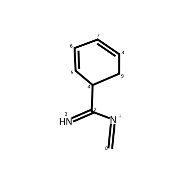 C=NC(=N)C1C=CC=CC1